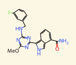 COc1nc(NCc2cccc(F)c2)nc(-c2[nH]cc3c(C(N)=O)cccc23)n1